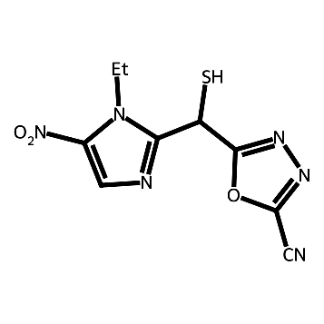 CCn1c([N+](=O)[O-])cnc1C(S)c1nnc(C#N)o1